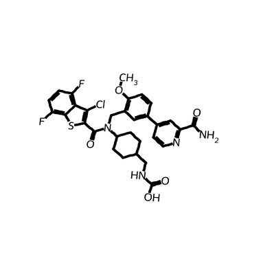 COc1ccc(-c2ccnc(C(N)=O)c2)cc1CN(C(=O)c1sc2c(F)ccc(F)c2c1Cl)C1CCC(CNC(=O)O)CC1